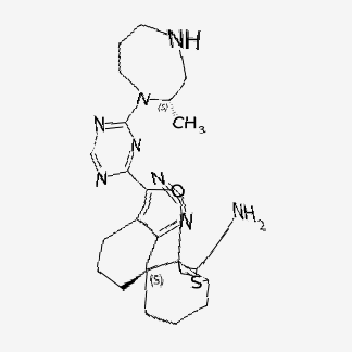 C[C@H]1CNCCCN1c1ncnc(-c2onc3c2CCC[C@@]32CCCc3sc(N)c(C#N)c32)n1